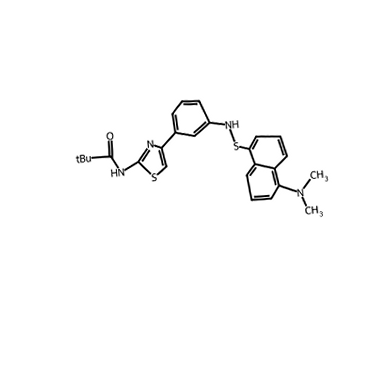 CN(C)c1cccc2c(SNc3cccc(-c4csc(NC(=O)C(C)(C)C)n4)c3)cccc12